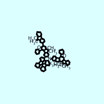 CC1(C)c2ccccc2-c2ccc(-c3cc4c(c5c3oc3ccccc35)-c3ccc(N(c5ccc6c(c5)C(C)(C)c5c7c(c8oc9ccccc9c8c5-6)-c5ccccc5C7(C)C)c5ccc6c(c5)C5(c7ccccc7-c7ccccc75)c5ccccc5-6)cc3C4(C)C)cc21